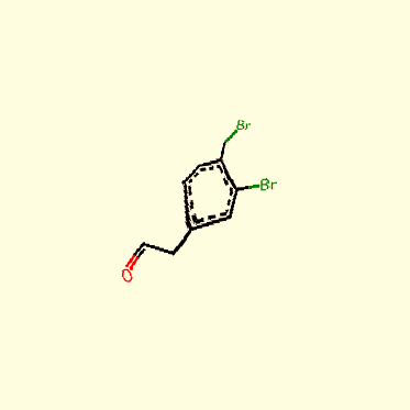 O=CCc1ccc(Br)c(Br)c1